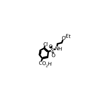 CCOCCNS(=O)(=O)c1cc(C(=O)O)ccc1Cl